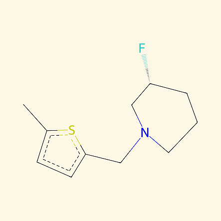 Cc1ccc(CN2CCC[C@@H](F)C2)s1